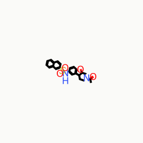 CC(=O)N1CCC2c3cc(NS(=O)(=O)c4ccc5ccccc5c4)ccc3OC2C1